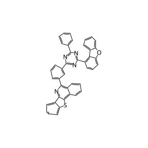 c1ccc(-c2nc(-c3cccc(-c4nc5c6ccccc6sc5c5ccccc45)c3)nc(-c3cccc4oc5ccccc5c34)n2)cc1